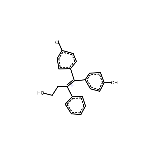 OCC/C(=C(/c1ccc(O)cc1)c1ccc(Cl)cc1)c1ccccc1